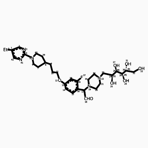 CCc1cnc(N2CCC(CCCOc3ccc(C(C=O)N4CCN(C[C@H](O)[C@@H](O)[C@H](O)[C@H](O)CO)CC4)c(F)c3)CC2)nc1